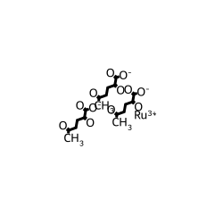 CC(=O)CCC(=O)C(=O)[O-].CC(=O)CCC(=O)C(=O)[O-].CC(=O)CCC(=O)C(=O)[O-].[Ru+3]